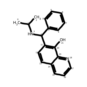 CC(C)NC(c1ccccc1)c1ccc2cccnc2c1O